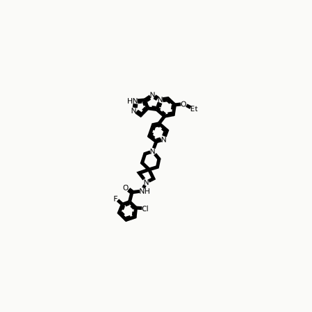 CCOc1cc(-c2ccc(N3CCC4(CC3)CN(NC(=O)c3c(F)cccc3Cl)C4)nc2)c2c3cn[nH]c3nn2c1